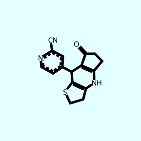 N#Cc1cc(C2C3=C(CCS3)NC3=C2C(=O)CC3)ccn1